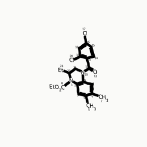 CCOC(=O)N1c2cc(C)c(C)cc2N(C(=O)c2ccc(Cl)cc2Cl)CC1CC